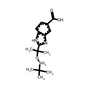 CC(C)(C)[SiH2]OC(C)(C)c1nc2cc(C(=O)O)ccc2[nH]1